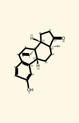 C=C[C@@]12CCc3ccc(O)cc3[C@H]1CC[C@]1(C)C(=O)CC[C@@H]21